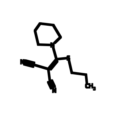 CCCSC(=C(C#N)C#N)N1CCCCC1